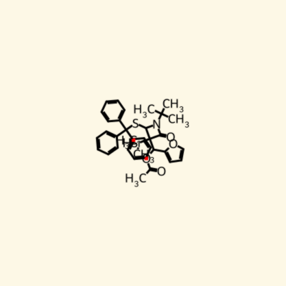 CC(=O)OC(c1ccco1)C1([SiH](C)C)C(=O)N(C(C)(C)C)C1SC(c1ccccc1)(c1ccccc1)c1ccccc1